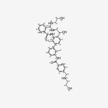 Cc1c(NC(=O)c2ccc(CNCCO)cn2)cccc1-c1cccc(NC(=O)c2ncccc2C(NCCO)NCCO)c1C